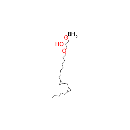 BOCC(O)COCCCCCCCCC1CC1CC1CC1CCCCC